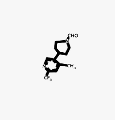 Cc1cc(C(F)(F)F)ncc1C1CCN(C=O)CC1